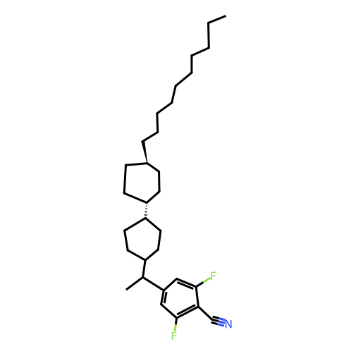 CCCCCCCCCC[C@H]1CC[C@H](C2CCC(C(C)c3cc(F)c(C#N)c(F)c3)CC2)CC1